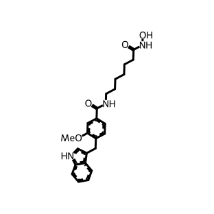 COc1cc(C(=O)NCCCCCCC(=O)NO)ccc1Cc1c[nH]c2ccccc12